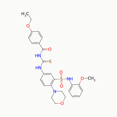 CCOc1ccc(C(=O)NC(=S)Nc2ccc(N3CCOCC3)c(S(=O)(=O)Nc3ccccc3OC)c2)cc1